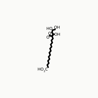 O=C(O)CCCCCCCCCCCCCCCC1=C(O)[C@@H]([C@@H](O)CO)OC1=O